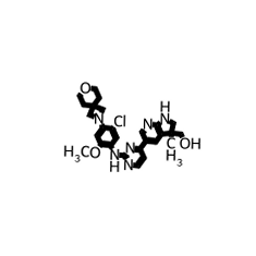 COc1cc(N2CC3(CCOCC3)C2)c(Cl)cc1Nc1nccc(-c2cnc3c(c2)C(C)(CO)CN3)n1